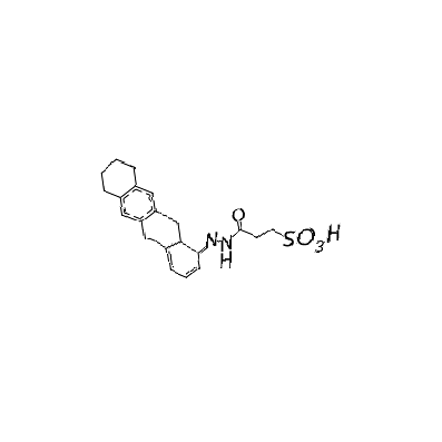 O=C(CCS(=O)(=O)O)NN=C1C=CC=C2Cc3cc4c(cc3CC21)CCCC4